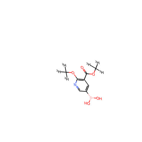 [2H]C([2H])([2H])OC(=O)c1cc(B(O)O)cnc1OC([2H])([2H])[2H]